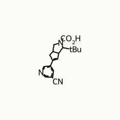 CC(C)(C)C1C2C=C(c3cncc(C#N)c3)CC2CN1C(=O)O